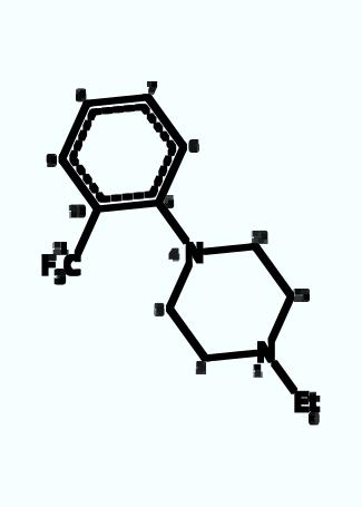 CCN1CCN(c2ccccc2C(F)(F)F)CC1